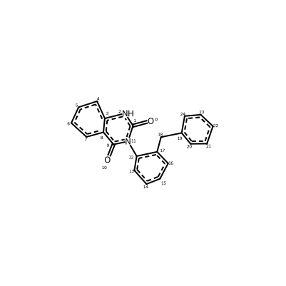 O=c1[nH]c2ccccc2c(=O)n1-c1ccccc1Cc1ccccc1